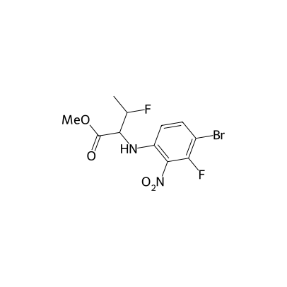 COC(=O)C(Nc1ccc(Br)c(F)c1[N+](=O)[O-])C(C)F